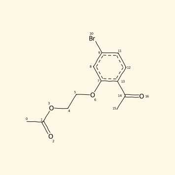 CC(=O)OCCOc1cc(Br)ccc1C(C)=O